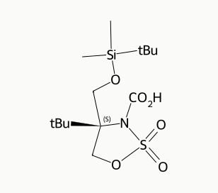 CC(C)(C)[C@]1(CO[Si](C)(C)C(C)(C)C)COS(=O)(=O)N1C(=O)O